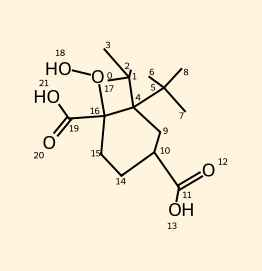 CC(C)(C)C1(C(C)(C)C)CC(C(=O)O)CCC1(OO)C(=O)O